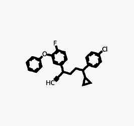 C#CC(CCC(c1ccc(Cl)cc1)C1CC1)c1ccc(F)c(Oc2ccccc2)c1